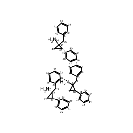 NC1(Cc2ccccc2)CC1c1ccccc1.N[C@@]1(Cc2ccccc2)C[C@@H]1c1ccccc1.N[C@]1(Cc2ccccc2)C[C@H]1c1ccccc1